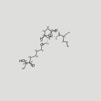 CCCC(C)SC[C@@H]1[C@H](COCCCCC(=O)N(C)O)[C@@H]2CC[C@H]1O2